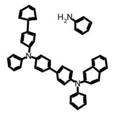 Nc1ccccc1.c1ccc(-c2ccc(N(c3ccccc3)c3ccc(-c4ccc(N(c5ccccc5)c5ccc6ccccc6c5)cc4)cc3)cc2)cc1